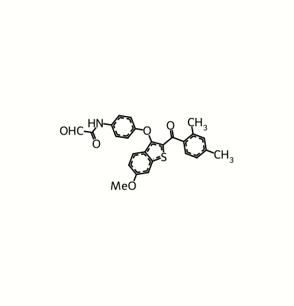 COc1ccc2c(Oc3ccc(NC(=O)C=O)cc3)c(C(=O)c3ccc(C)cc3C)sc2c1